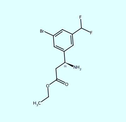 CCOC(=O)C[C@H](N)c1cc(Br)cc(C(F)F)c1